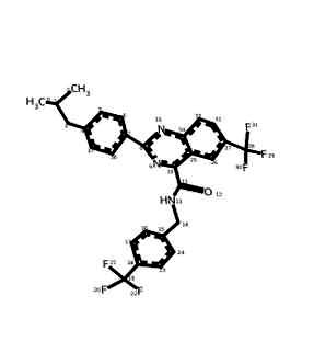 CC(C)Cc1ccc(-c2nc(C(=O)NCc3ccc(C(F)(F)F)cc3)c3cc(C(F)(F)F)ccc3n2)cc1